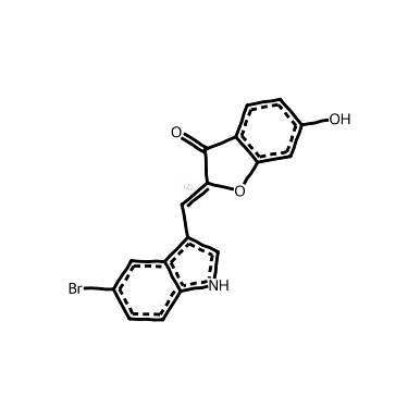 O=C1/C(=C/c2c[nH]c3ccc(Br)cc23)Oc2cc(O)ccc21